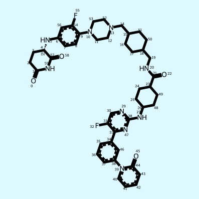 O=C1CC[C@H](Nc2ccc(N3CCN(CC4CCC(CNC(=O)C5CCC(Nc6ncc(F)c(-c7cccc(-n8ccccc8=O)c7)n6)CC5)CC4)CC3)c(F)c2)C(=O)N1